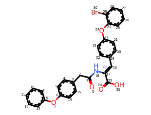 O=C(Cc1ccc(Oc2ccccc2)cc1)N/C(=C\c1ccc(Oc2ccccc2Br)cc1)C(=O)O